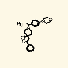 CC(c1ccc(N2CCOCC2)cc1)N1CCC(Cl)(CC(=O)c2ccccc2)CC1.Cl